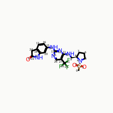 CS(=O)(=O)N1CCC[C@@H]1CNc1nc(Nc2ccc3c(c2)NC(=O)C3)ncc1C(F)(F)F